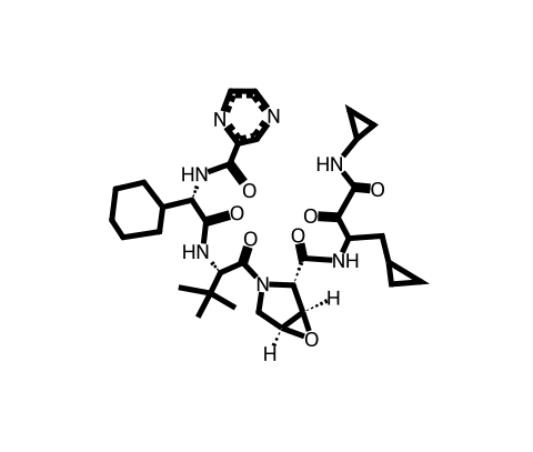 CC(C)(C)[C@H](NC(=O)[C@@H](NC(=O)c1cnccn1)C1CCCCC1)C(=O)N1C[C@@H]2O[C@@H]2[C@H]1C(=O)NC(CC1CC1)C(=O)C(=O)NC1CC1